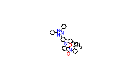 C=C(/C=C\C=C/C)c1ccccc1N1C(=O)c2cccc(-n3c4ccccc4c4cc(-c5nc(-c6ccccc6)nc(-c6ccccc6)n5)ccc43)c2C1=O